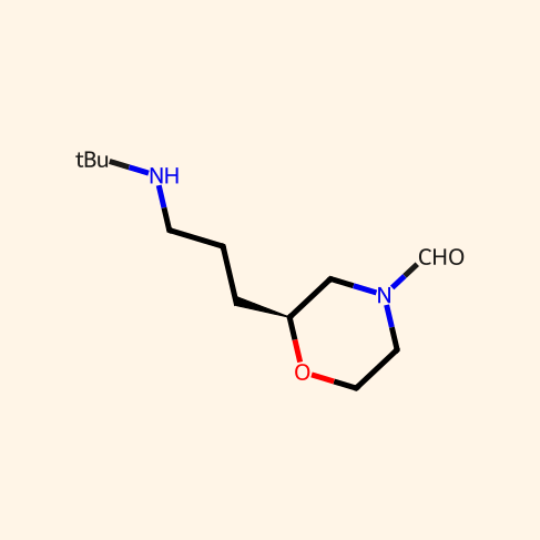 CC(C)(C)NCCC[C@H]1CN(C=O)CCO1